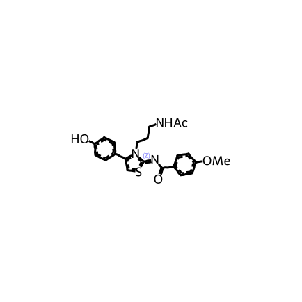 COc1ccc(C(=O)/N=c2\scc(-c3ccc(O)cc3)n2CCCNC(C)=O)cc1